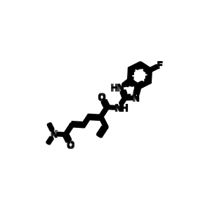 C=C/C(=C\C=C\C(=O)N(C)C)C(=O)Nc1nc2cc(F)ccc2[nH]1